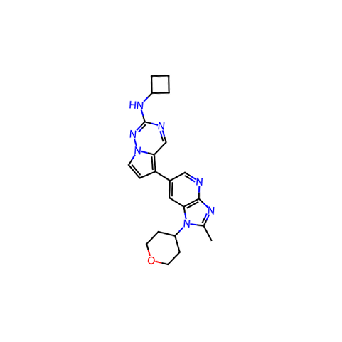 Cc1nc2ncc(-c3ccn4nc(NC5CCC5)ncc34)cc2n1C1CCOCC1